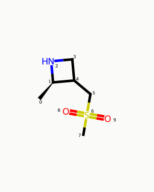 C[C@H]1NCC1CS(C)(=O)=O